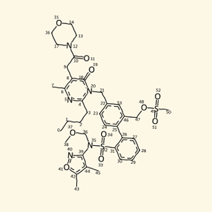 CCCCc1nc(C)c(CC(=O)N2CCOCC2)c(=O)n1Cc1ccc(-c2ccccc2S(=O)(=O)N(COC)c2noc(C)c2C)c(COS(C)(=O)=O)c1